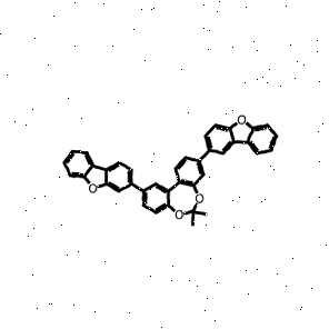 CC1(C)Oc2cc(-c3ccc4oc5ccccc5c4c3)ccc2-c2cc(-c3ccc4c(c3)oc3ccccc34)ccc2O1